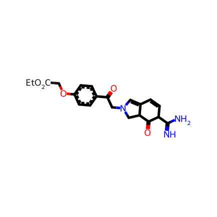 CCOC(=O)COc1ccc(C(=O)CN2C=C3C=CC(C(=N)N)C(=O)C3C2)cc1